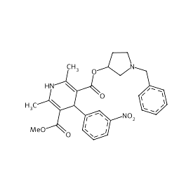 COC(=O)C1=C(C)NC(C)=C(C(=O)OC2CCN(Cc3ccccc3)C2)C1c1cccc([N+](=O)[O-])c1